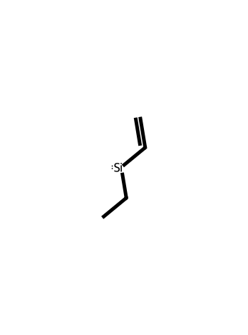 C=C[Si]CC